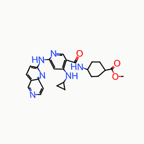 COC(=O)C1CCC(NC(=O)c2cnc(Nc3ccc4cnccc4n3)cc2NC2CC2)CC1